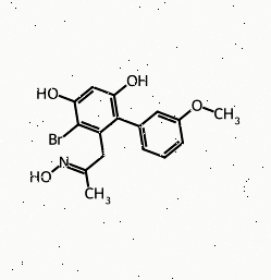 COc1cccc(-c2c(O)cc(O)c(Br)c2CC(C)=NO)c1